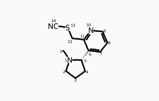 CN1CCC[C@H]1c1cccnc1CSC#N